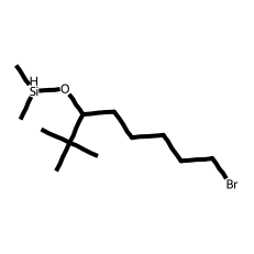 C[SiH](C)OC(CCCCCBr)C(C)(C)C